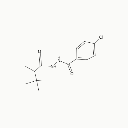 CC(C(=O)NNC(=O)c1ccc(Cl)cc1)C(C)(C)C